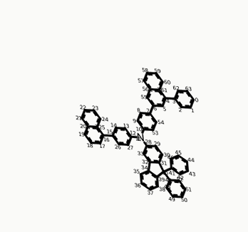 c1ccc(-c2cc(-c3ccc(N(c4ccc(-c5cccc6ccccc56)cc4)c4ccc5c(c4)-c4ccccc4C5(c4ccccc4)c4ccccc4)cc3)cc3ccccc23)cc1